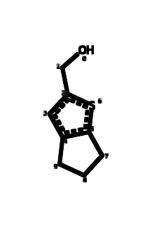 OCc1cc2c(s1)CCC2